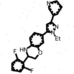 CCn1nc(-c2cccnc2)cc1-c1ccc2c(c1)OCC(c1c(F)cccc1F)N2